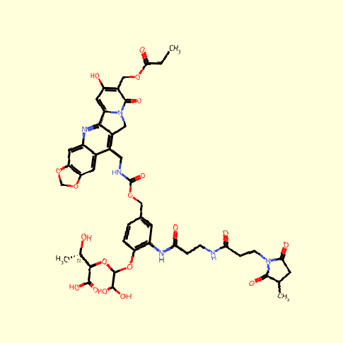 CCC(=O)OCc1c(O)cc2n(c1=O)Cc1c-2nc2cc3c(cc2c1CNC(=O)OCc1ccc(OC(OC(C(=O)O)[C@H](C)O)C(O)O)c(NC(=O)CCNC(=O)CCN2C(=O)CC(C)C2=O)c1)OCO3